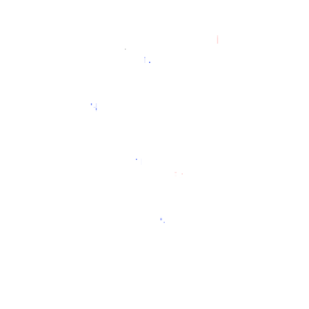 O=C(c1cc2ccccc2[nH]1)N1CCc2nn3c(c2C1)C(=O)N(CCO)C1(CC1)C3